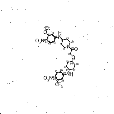 CCOc1cc(NC2CCN(C(=O)CO[C@H]3CC[C@H](Nc4ccc([N+](=O)[O-])c(C(F)(F)F)c4)CC3)CC2)ccc1[N+](=O)[O-]